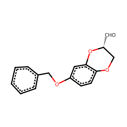 O=C[C@@H]1COc2ccc(OCc3ccccc3)cc2O1